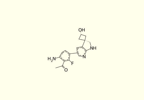 CC(=O)c1c(N)ccc(-c2cnc3c(c2)[C@]2(CN3)C[C@@H](O)C2)c1F